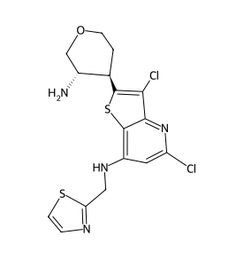 N[C@@H]1COCC[C@H]1c1sc2c(NCc3nccs3)cc(Cl)nc2c1Cl